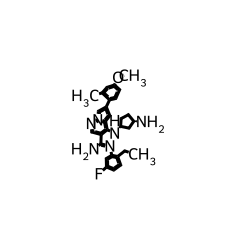 CCc1ccc(F)cc1N=C(N)c1cnn2cc(-c3ccc(OC)cc3C)cc2c1N[C@H]1CC[C@@H](N)C1